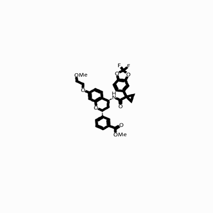 COCCOc1ccc2c(c1)O[C@@H](c1cccc(C(=O)OC)c1)C[C@H]2NC(=O)C1(c2ccc3c(c2)OC(F)(F)O3)CC1